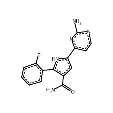 CCc1ccccc1-c1[nH]c(-c2ccnc(N)n2)cc1C(N)=O